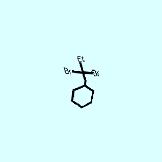 CCC(Br)(Br)C1CCCCC1